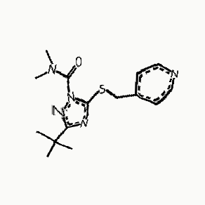 CN(C)C(=O)n1nc(C(C)(C)C)nc1SCc1ccncc1